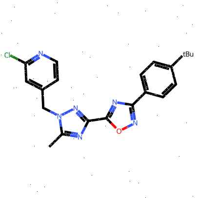 Cc1nc(-c2nc(-c3ccc(C(C)(C)C)cc3)no2)nn1Cc1ccnc(Cl)c1